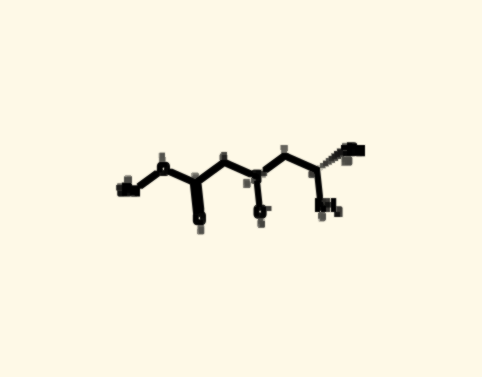 CC(C)(C)OC(=O)C[S+]([O-])C[C@@H](N)C(C)(C)C